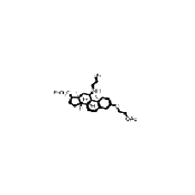 CCOC(=O)C1CC[C@H]2[C@@H]3CCC4CC(OCCOC(C)=O)CC[C@]4(C)[C@@H]3C(NCCC(C)C)C[C@]12C